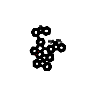 CC1(C)c2ccccc2-c2ccc(N(c3ccc(-c4cccc5oc6ccccc6c45)cc3-c3ccccc3)c3cccc4c3-c3ccccc3C43c4ccccc4-c4ccccc43)cc21